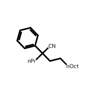 [CH2]CCC(C#N)(CCCCCCCCCC)c1ccccc1